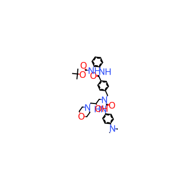 CN(C)c1ccc(NC(=O)N(Cc2ccc(C(=O)Nc3ccccc3NC(=O)OC(C)(C)C)cc2)CC(O)CN2CCOCC2)cc1